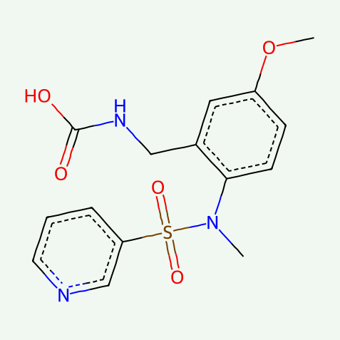 COc1ccc(N(C)S(=O)(=O)c2cccnc2)c(CNC(=O)O)c1